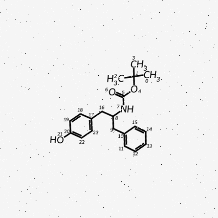 CC(C)(C)OC(=O)NC(Cc1ccccc1)Cc1ccc(O)cc1